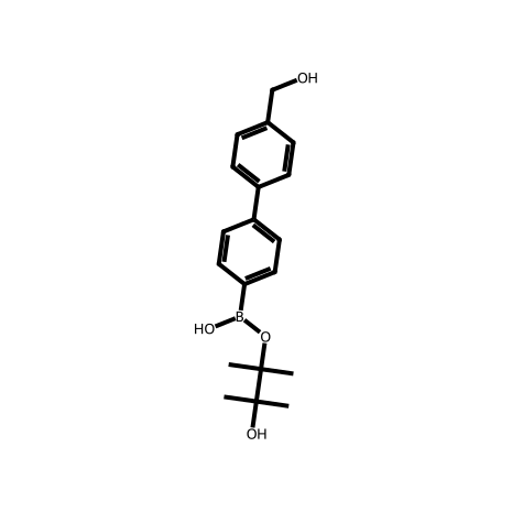 CC(C)(O)C(C)(C)OB(O)c1ccc(-c2ccc(CO)cc2)cc1